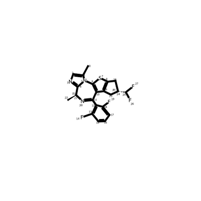 Cc1cnc2n1-c1sc3c(c1C(c1c(F)cccc1F)=N[C@H]2C)C[C@@H](C(F)F)C3